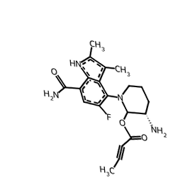 CC#CC(=O)OC1[C@@H](N)CCCN1c1c(F)cc(C(N)=O)c2[nH]c(C)c(C)c12